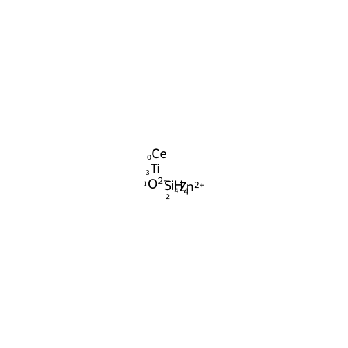 [Ce].[O-2].[SiH4].[Ti].[Zn+2]